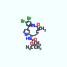 C[C@@H]1CCC[C@H](NC(=O)OC(C)(C)C)c2cc(ccn2)-c2cc(Br)c(Br)cc2NC1=O